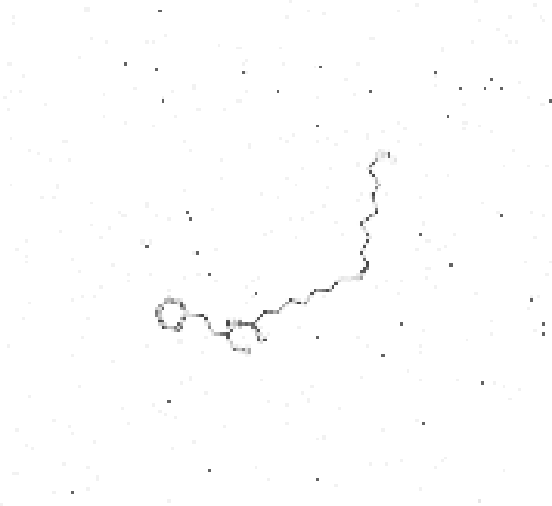 CCCCCCCC/C=C\CCCCCCCC(=O)NC(C=O)CCc1ccccc1